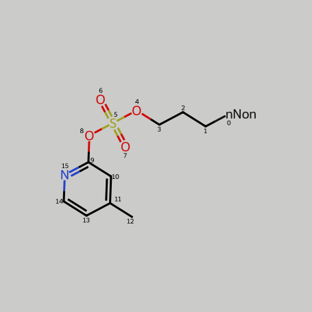 CCCCCCCCCCCCOS(=O)(=O)Oc1cc(C)ccn1